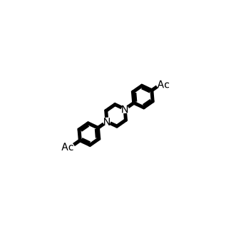 CC(=O)c1ccc(N2CCN(c3ccc(C(C)=O)cc3)CC2)cc1